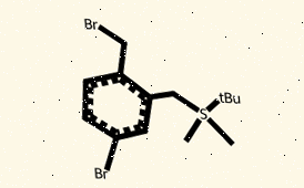 CC(C)(C)S(C)(C)Cc1cc(Br)ccc1CBr